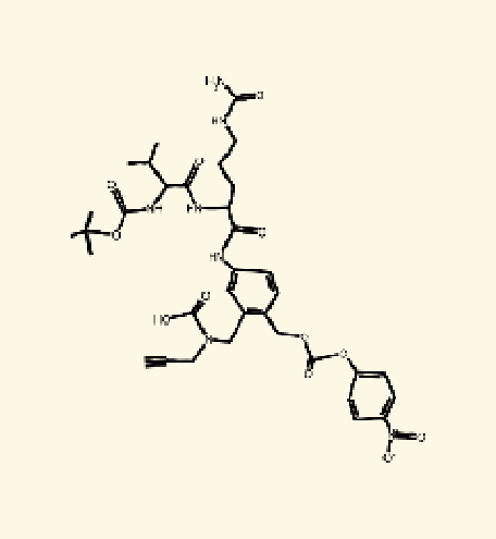 C#CCN(Cc1cc(NC(=O)C(CCCNC(N)=O)NC(=O)C(NC(=O)OC(C)(C)C)C(C)C)ccc1COC(=O)Oc1ccc([N+](=O)[O-])cc1)C(=O)O